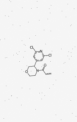 C=CC(=O)N1CCOCC1c1cc(Cl)nc(Cl)c1